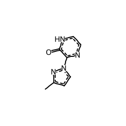 Cc1ccn(-c2ncc[nH]c2=O)n1